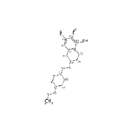 CCCC1CCC(CCC2CCc3c(cc(F)c(F)c3F)C2)CC1